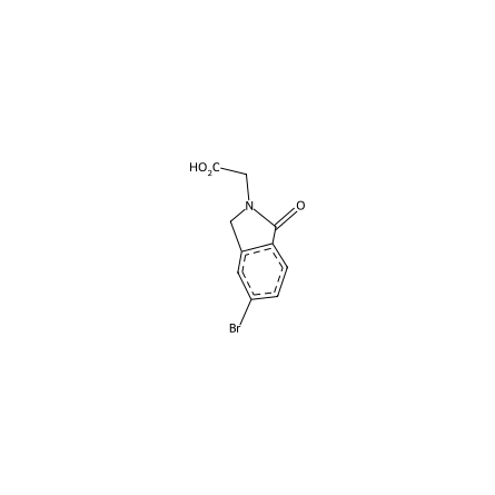 O=C(O)CN1Cc2cc(Br)ccc2C1=O